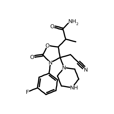 CC(C(N)=O)C1OC(=O)N(c2cccc(F)c2)C1(CC#N)N1CCNCC1